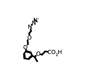 CC(OCCC(=O)O)c1cccc(OCCOCCN=[N+]=[N-])c1